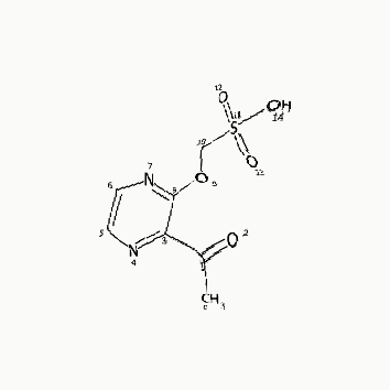 CC(=O)c1nccnc1OCS(=O)(=O)O